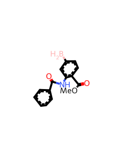 Bc1ccc(C(=O)OC)c(NC(=O)c2ccccc2)c1